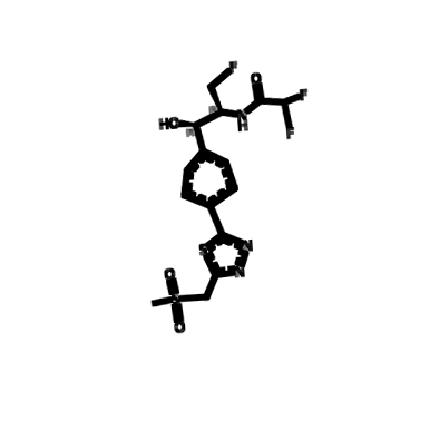 CS(=O)(=O)Cc1nnc(-c2ccc([C@@H](O)[C@@H](CF)NC(=O)C(F)F)cc2)s1